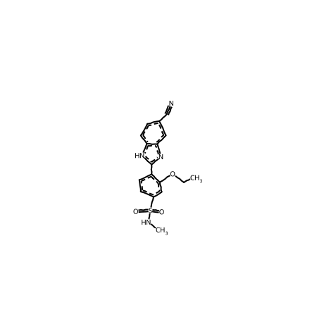 CCOc1cc(S(=O)(=O)NC)ccc1-c1nc2cc(C#N)ccc2[nH]1